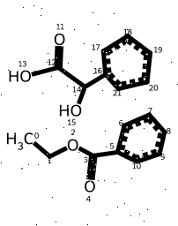 CCOC(=O)c1ccccc1.O=C(O)C(O)c1ccccc1